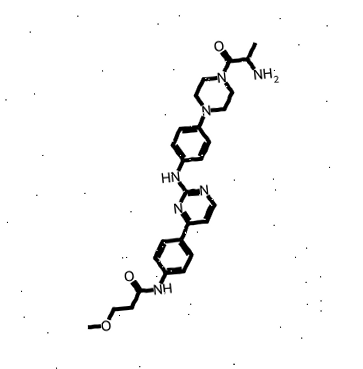 COCCC(=O)Nc1ccc(-c2ccnc(Nc3ccc(N4CCN(C(=O)C(C)N)CC4)cc3)n2)cc1